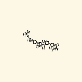 C=NC(=C)NCCCNC1CCC(n2cc3c(nc2=O)Nc2cc(C4CCN(C(=O)C5(N)CC5)CC4)ccc2O3)CC1